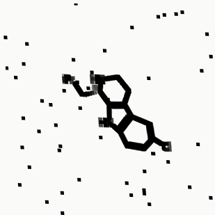 CC(C)C[C@@H]1NCCc2c1[nH]c1ccc(Cl)cc21